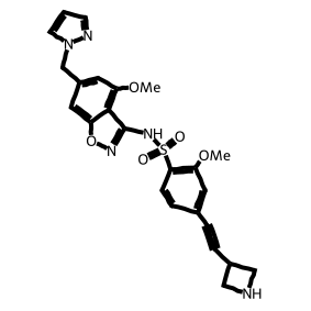 COc1cc(C#CC2CNC2)ccc1S(=O)(=O)Nc1noc2cc(Cn3cccn3)cc(OC)c12